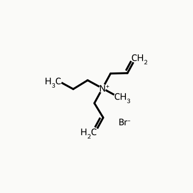 C=CC[N+](C)(CC=C)CCC.[Br-]